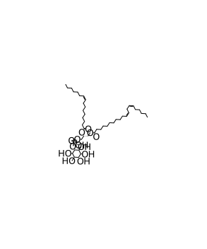 CCCCC/C=C\C/C=C\CCCCCCCCCC(=O)OC[C@H](COP(=O)(O)OC1C(O)C(O)C(O)[C@@H](O)C1O)OC(=O)CCCCCCC/C=C\CCCCCC